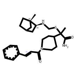 CC(SCN[C@H]1CC2CC[C@@]1(C)C2)(C(N)=O)C1CCN(C(=O)/C=C/c2ccccc2)CC1